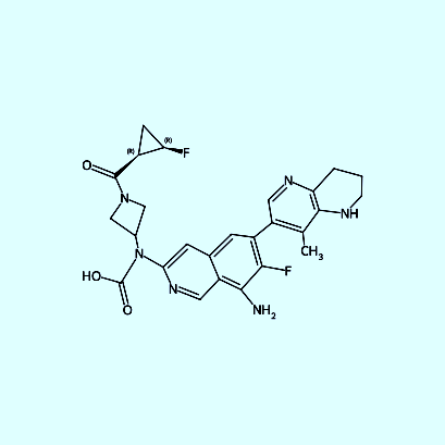 Cc1c(-c2cc3cc(N(C(=O)O)C4CN(C(=O)[C@H]5C[C@H]5F)C4)ncc3c(N)c2F)cnc2c1NCCC2